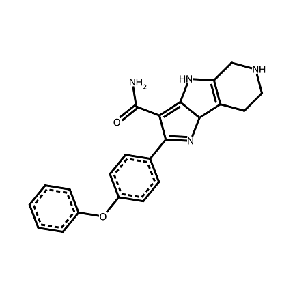 NC(=O)C1=C2NC3=C(CCNC3)C2N=C1c1ccc(Oc2ccccc2)cc1